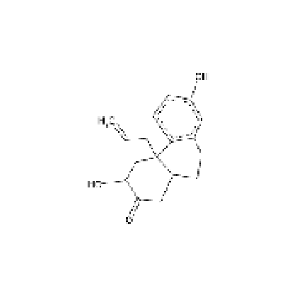 C=CCC12CC(O)C(=O)CC1CCc1cc(O)ccc12